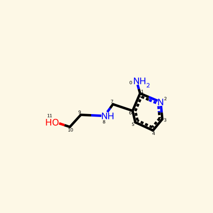 Nc1ncccc1CNCCO